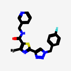 Cc1nc(-c2cn(Cc3ccc(F)cc3)nn2)sc1C(=O)NCc1cccnc1